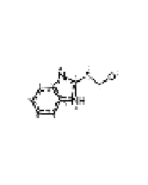 [O]CSc1nc2ccccc2[nH]1